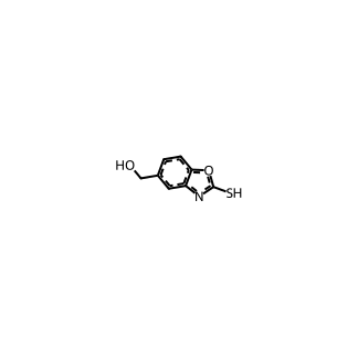 OCc1ccc2oc(S)nc2c1